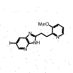 COc1cccnc1CCc1nc2cc(I)cnc2[nH]1